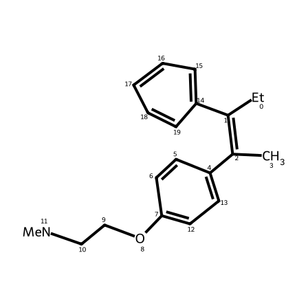 CC/C(=C(\C)c1ccc(OCCNC)cc1)c1ccccc1